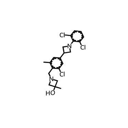 Cc1cc(C2CN(c3c(Cl)cccc3Cl)C2)cc(Cl)c1CN1CC(C)(O)C1